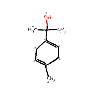 CC1=CCC(C(C)(C)O)=CC1